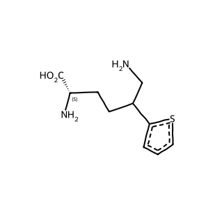 NCC(CC[C@H](N)C(=O)O)c1cccs1